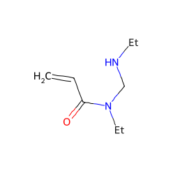 C=CC(=O)N(CC)CNCC